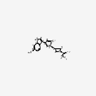 NC(=O)C1CC(n2cc(-c3c[nH]c4cc(F)ccc34)cn2)C1